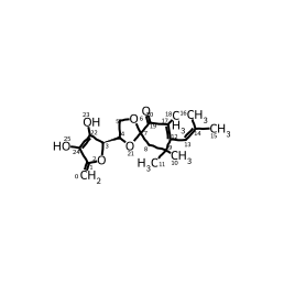 C=C1O[C@H](C2COC3(CC(C)(C)C(C=C(C)C)=C(C)C3=O)O2)C(O)=C1O